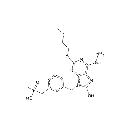 CCCCOc1nc(NN)c2nc(O)n(Cc3cccc(CP(C)(=O)O)c3)c2n1